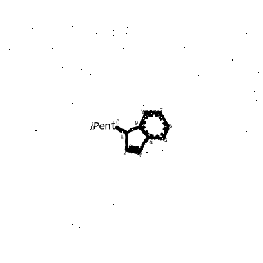 CCCC(C)C1C=Cc2ccccc21